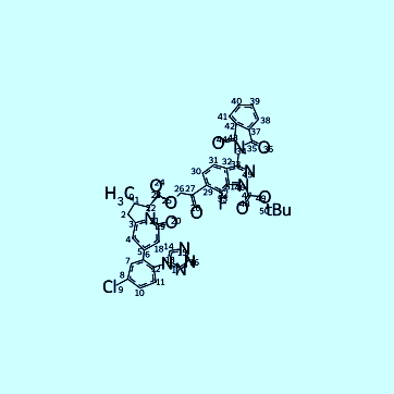 C[C@H]1Cc2cc(-c3cc(Cl)ccc3-n3cnnn3)cc(=O)n2[C@@H]1C(=O)OCC(=O)c1ccc2c(N3C(=O)c4ccccc4C3=O)nn(C(=O)OC(C)(C)C)c2c1F